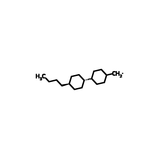 [CH2]C1CCC([C@H]2CC[C@H](CCCC)CC2)CC1